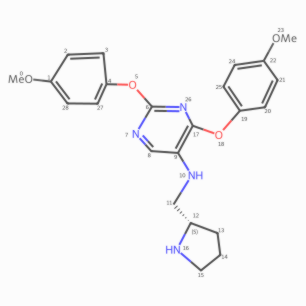 COc1ccc(Oc2ncc(NC[C@@H]3CCCN3)c(Oc3ccc(OC)cc3)n2)cc1